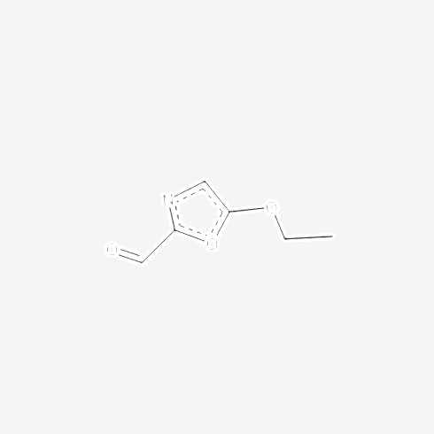 CCOc1cnc(C=O)o1